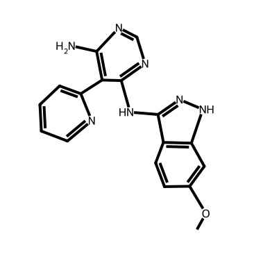 COc1ccc2c(Nc3ncnc(N)c3-c3ccccn3)n[nH]c2c1